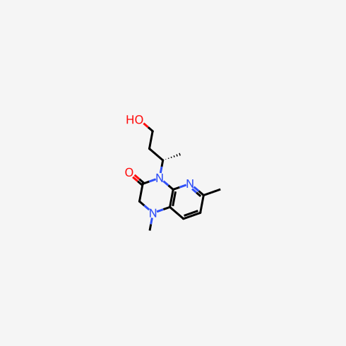 Cc1ccc2c(n1)N([C@@H](C)CCO)C(=O)CN2C